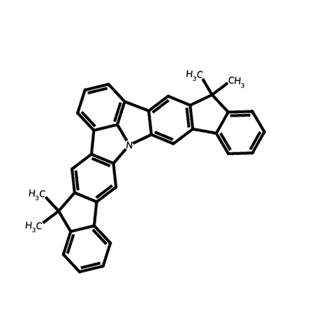 CC1(C)c2ccccc2-c2cc3c(cc21)c1cccc2c4cc5c(cc4n3c12)-c1ccccc1C5(C)C